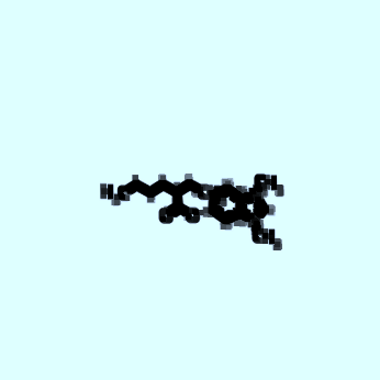 CCCCC(CC)C(=O)[O-].Cn1c[n+](C)c2ccccc21